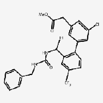 CCC(NC(=O)NCc1ccccc1)c1cc(C(F)(F)F)ccc1-c1cc(Cl)cc(CC(=O)OC)c1